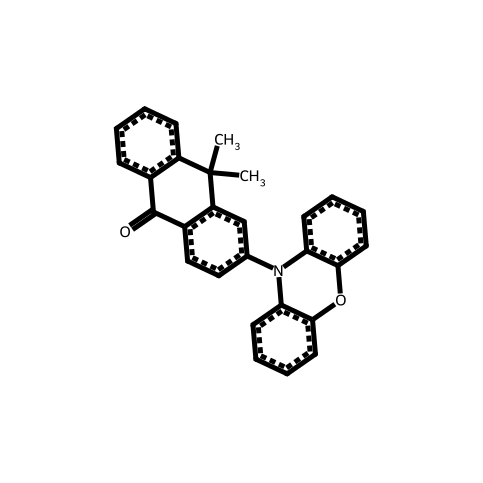 CC1(C)c2ccccc2C(=O)c2ccc(N3c4ccccc4Oc4ccccc43)cc21